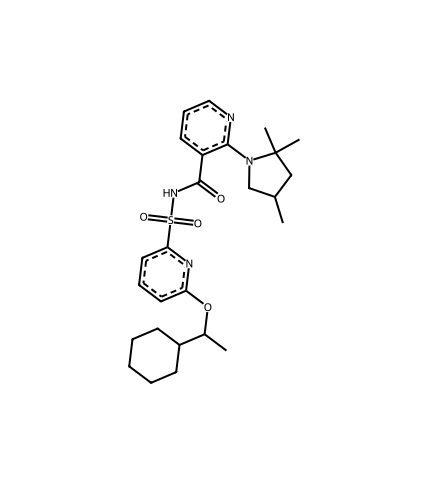 CC1CN(c2ncccc2C(=O)NS(=O)(=O)c2cccc(OC(C)C3CCCCC3)n2)C(C)(C)C1